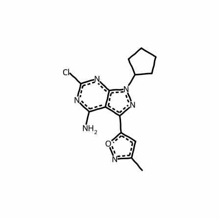 Cc1cc(-c2nn(C3CCCC3)c3nc(Cl)nc(N)c23)on1